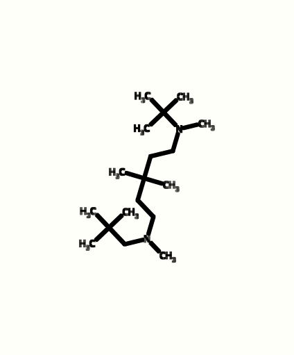 CN(CCC(C)(C)CCN(C)C(C)(C)C)CC(C)(C)C